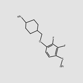 CCCSc1ccc(OCC2CCC(CCC)CC2)c(F)c1F